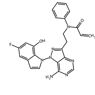 C=CC(=O)N(CCc1nn(-n2ccc3cc(F)cc(O)c32)c2c(N)ncnc12)c1ccccc1